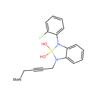 CNCC#CCN1c2ccccc2N(c2ccccc2F)S1(O)O